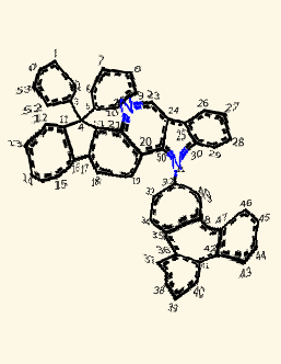 c1ccc(C2(c3ccccc3)c3ccccc3-c3ccc4c(ncc5c6ccccc6n(-c6ccc7c8ccccc8c8ccccc8c7c6)c45)c32)cc1